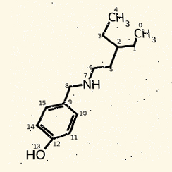 CCC(CC)CCNCc1ccc(O)cc1